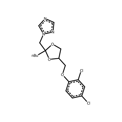 CCCCC1(Cn2cncn2)OCC(COc2ccc(Cl)cc2Cl)O1